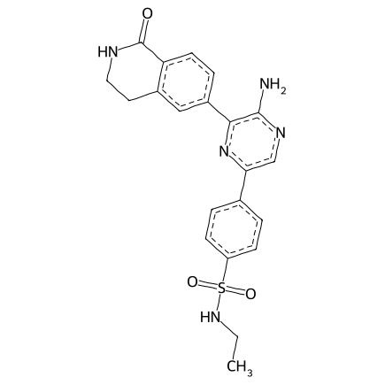 CCNS(=O)(=O)c1ccc(-c2cnc(N)c(-c3ccc4c(c3)CCNC4=O)n2)cc1